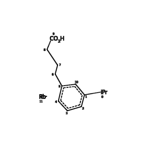 CC(C)c1cccc(CCCC(=O)O)c1.[Rb]